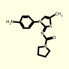 Cc1cn(-c2ccc(N)cc2)c(=NC(=O)N2CCCC2)s1